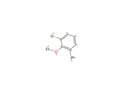 CCOc1c(Br)cccc1[C](C)C